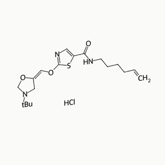 C=CCCCCNC(=O)c1cnc(OC=C2CN(C(C)(C)C)CO2)s1.Cl